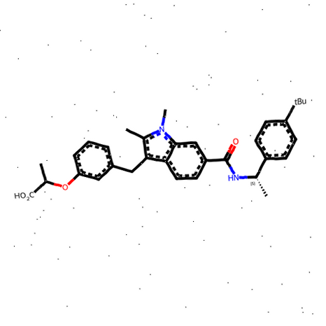 Cc1c(Cc2cccc(OC(C)C(=O)O)c2)c2ccc(C(=O)N[C@@H](C)c3ccc(C(C)(C)C)cc3)cc2n1C